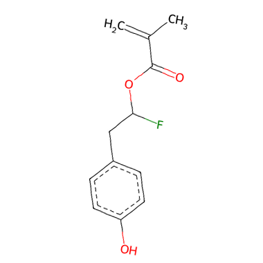 C=C(C)C(=O)OC(F)Cc1ccc(O)cc1